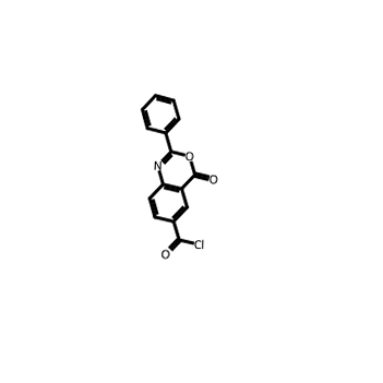 O=C(Cl)c1ccc2nc(-c3ccccc3)oc(=O)c2c1